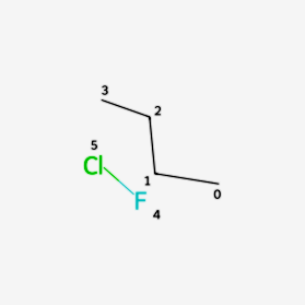 CCCC.FCl